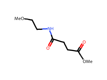 COCCNC(=O)CCC(=O)OC